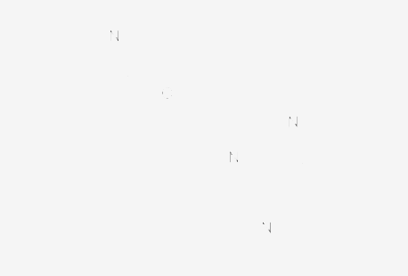 CC(C)N1CN(c2cccc3c2oc2ncccc23)c2ncccc21